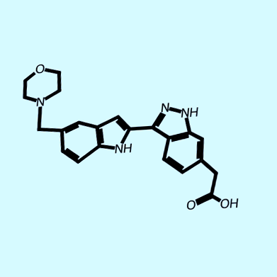 O=C(O)Cc1ccc2c(-c3cc4cc(CN5CCOCC5)ccc4[nH]3)n[nH]c2c1